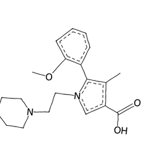 COc1ccccc1-c1c(C)c(C(=O)O)cn1CCN1CCCCC1